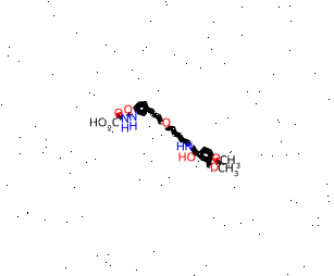 CC1(C)OCc2cc([C@@H](O)CNCCCCCCOCCCCc3cccc(NC(=O)NC(=O)C(=O)O)c3)ccc2O1